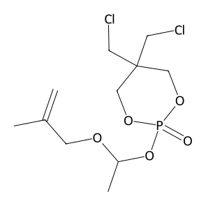 C=C(C)COC(C)OP1(=O)OCC(CCl)(CCl)CO1